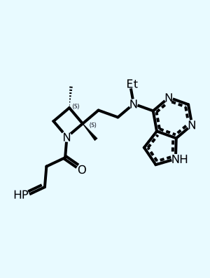 CCN(CC[C@@]1(C)[C@@H](C)CN1C(=O)CC=P)c1ncnc2[nH]ccc12